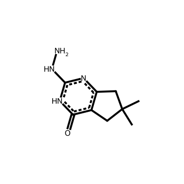 CC1(C)Cc2nc(NN)[nH]c(=O)c2C1